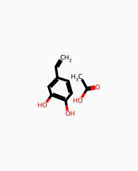 C=Cc1ccc(O)c(O)c1.CC(=O)O